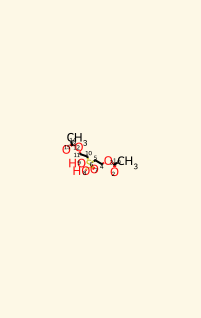 CC(=O)OCCS(=O)(O)(O)CCOC(C)=O